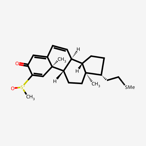 CSCC[C@H]1CC[C@H]2[C@@H]3C=CC4=CC(=O)C([S+](C)[O-])=C[C@]4(C)[C@H]3CC[C@]12C